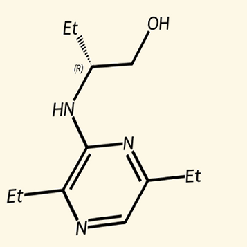 CCc1cnc(CC)c(N[C@H](CC)CO)n1